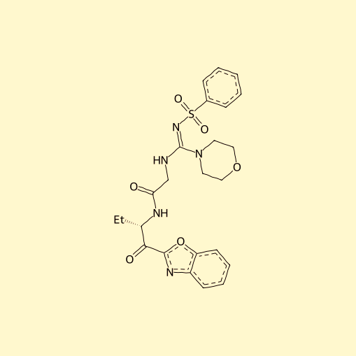 CC[C@H](NC(=O)CN/C(=N/S(=O)(=O)c1ccccc1)N1CCOCC1)C(=O)c1nc2ccccc2o1